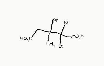 CCC(CC)(C(=O)O)C(C)(CC(=O)O)C(C)C